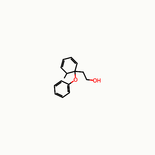 CC1C=CC=CC1(CCO)Oc1ccccc1